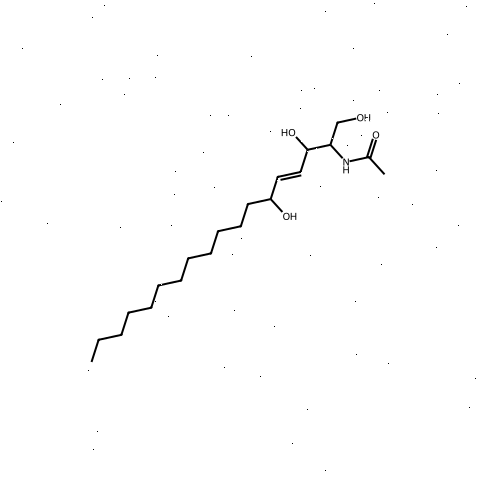 CCCCCCCCCCCCC(O)/C=C/C(O)C(CO)NC(C)=O